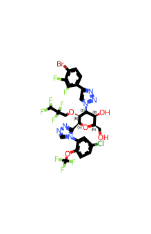 OC[C@H]1O[C@@H](c2nncn2-c2cc(Cl)ccc2OC(F)(F)F)[C@H](OCC(F)(F)C(F)F)[C@@H](n2cc(-c3ccc(Br)c(F)c3F)nn2)[C@H]1O